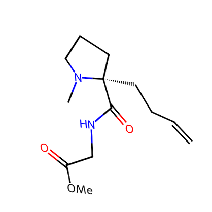 C=CCC[C@@]1(C(=O)NCC(=O)OC)CCCN1C